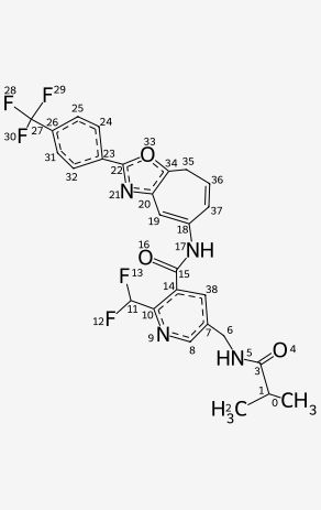 CC(C)C(=O)NCc1cnc(C(F)F)c(C(=O)NC2=Cc3nc(-c4ccc(C(F)(F)F)cc4)oc3CC=C2)c1